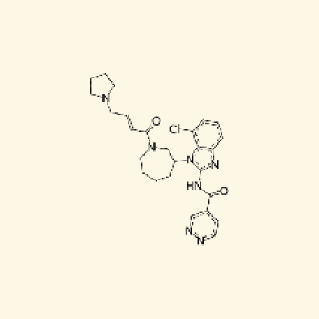 O=C(Nc1nc2cccc(Cl)c2n1C1CCCCN(C(=O)/C=C/CN2CCCC2)C1)c1ccnnc1